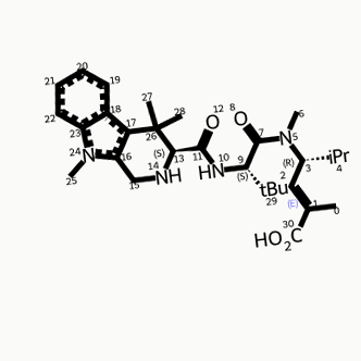 C/C(=C\[C@@H](C(C)C)N(C)C(=O)[C@@H](NC(=O)[C@H]1NCc2c(c3ccccc3n2C)C1(C)C)C(C)(C)C)C(=O)O